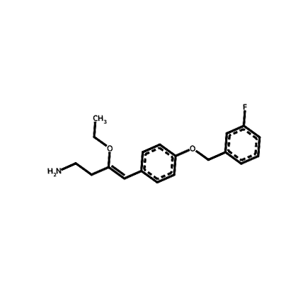 CCOC(=Cc1ccc(OCc2cccc(F)c2)cc1)CCN